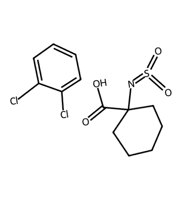 Clc1ccccc1Cl.O=C(O)C1(N=S(=O)=O)CCCCC1